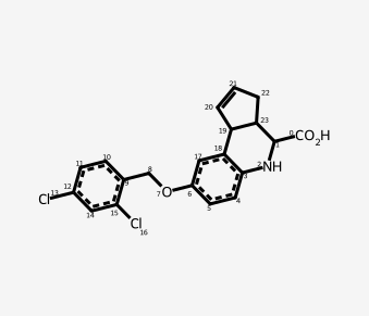 O=C(O)C1Nc2ccc(OCc3ccc(Cl)cc3Cl)cc2C2C=CCC12